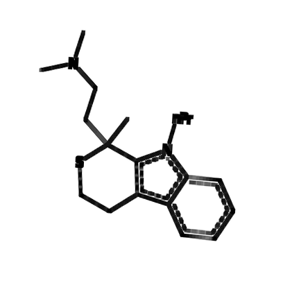 CCCn1c2c(c3ccccc31)CCSC2(C)CCN(C)C